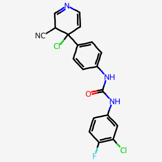 N#CC1C=NC=CC1(Cl)c1ccc(NC(=O)Nc2ccc(F)c(Cl)c2)cc1